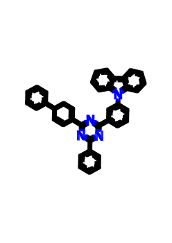 C1=CC(c2ccccc2)CC=C1c1nc(-c2ccccc2)nc(-c2cccc(-n3c4ccccc4c4ccccc43)c2)n1